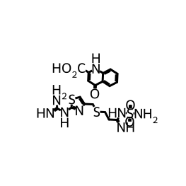 N=C(N)Nc1nc(CSCCC(=N)NS(N)(=O)=O)cs1.O=C(O)c1cc(=O)c2ccccc2[nH]1